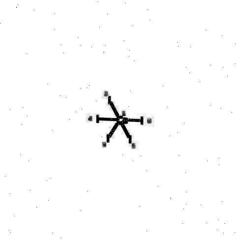 [I][Ca]([I])([I])([I])[I]